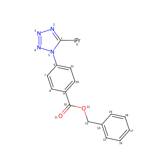 CC(C)c1nnnn1-c1ccc(C(=O)OCc2ccccc2)cc1